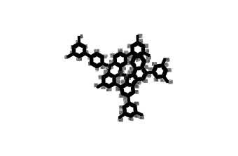 Cc1cc(C)cc(-c2ccc(N3c4ccc(-c5cc(C)cc(C)c5)cc4B4c5c(cc(C)cc53)-c3cc(-c5cc(C)cc(C)c5)cc5c6cc(-c7cc(C)cc(C)c7)c7ccccc7c6n4c35)cc2)c1